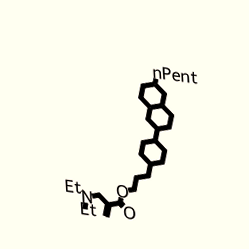 C=C(CN(CC)CC)C(=O)OCCCC1CCC(C2CCC3CC(CCCCC)CCC3C2)CC1